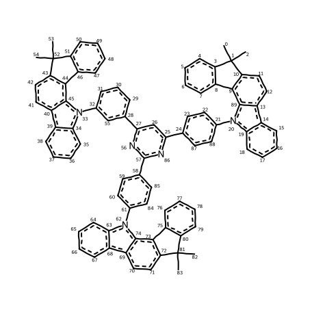 CC1(C)c2ccccc2-c2c1ccc1c3ccccc3n(-c3ccc(-c4cc(-c5cccc(-n6c7ccccc7c7ccc8c(c76)-c6ccccc6C8(C)C)c5)nc(-c5ccc(-n6c7ccccc7c7ccc8c(c76)-c6ccccc6C8(C)C)cc5)n4)cc3)c21